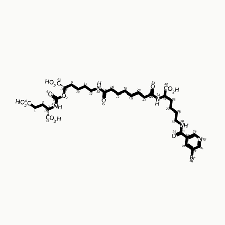 O=C(O)CC[C@H](NC(=O)O[C@@H](CCCCNC(=O)CCCCCCC(=O)NC(CCCCNC(=O)c1cncc(Br)c1)C(=O)O)C(=O)O)C(=O)O